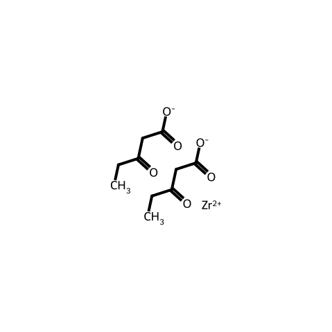 CCC(=O)CC(=O)[O-].CCC(=O)CC(=O)[O-].[Zr+2]